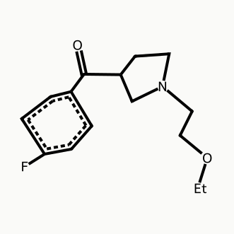 CCOCCN1CCC(C(=O)c2ccc(F)cc2)C1